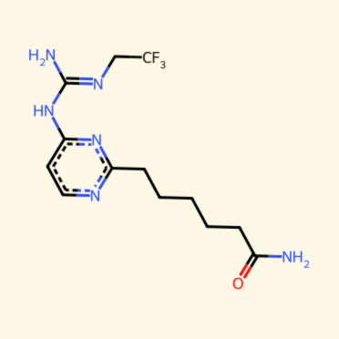 NC(=O)CCCCCc1nccc(NC(N)=NCC(F)(F)F)n1